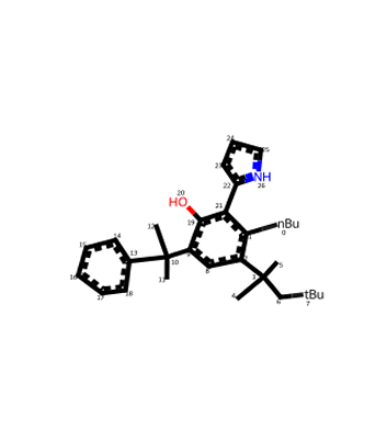 CCCCc1c(C(C)(C)CC(C)(C)C)cc(C(C)(C)c2ccccc2)c(O)c1-c1ccc[nH]1